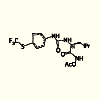 CC(=O)ONC(=O)[C@H](CC(C)C)NC(=O)Nc1ccc(SC(F)(F)F)cc1